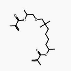 C=C(C)C(=O)OC(C)CCCCC(C)(C)COCC(C)OC(=O)C(=C)C